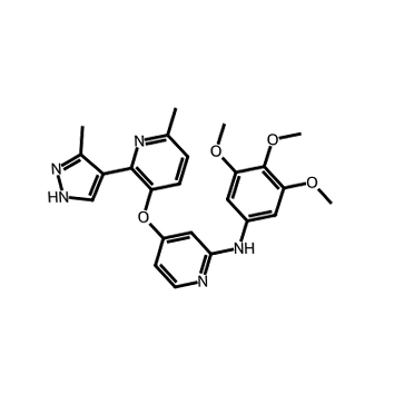 COc1cc(Nc2cc(Oc3ccc(C)nc3-c3c[nH]nc3C)ccn2)cc(OC)c1OC